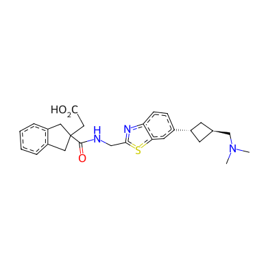 CN(C)C[C@H]1C[C@H](c2ccc3nc(CNC(=O)C4(CC(=O)O)Cc5ccccc5C4)sc3c2)C1